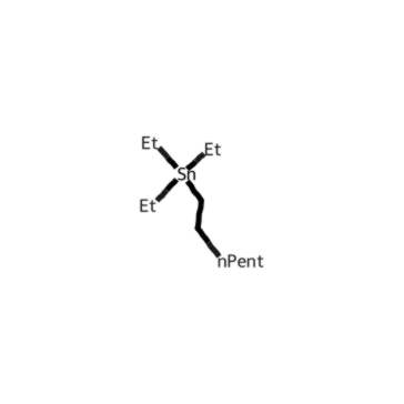 CCCCCC[CH2][Sn]([CH2]C)([CH2]C)[CH2]C